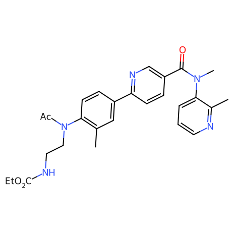 CCOC(=O)NCCN(C(C)=O)c1ccc(-c2ccc(C(=O)N(C)c3cccnc3C)cn2)cc1C